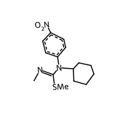 CN=C(SC)N(c1ccc([N+](=O)[O-])cc1)C1CCCCC1